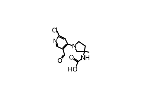 CC1(NC(=O)O)CCN(c2cc(Cl)ncc2C=O)C1